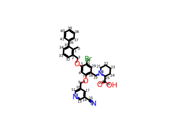 Cc1c(COc2cc(OCc3cncc(C#N)c3)c(CN3CCCCC3C(=O)O)cc2Br)cccc1-c1ccccc1